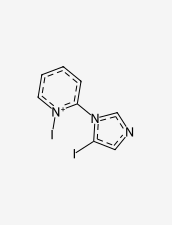 Ic1cncn1-c1cccc[n+]1I